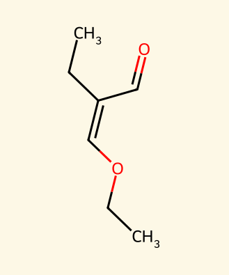 CCOC=C(C=O)CC